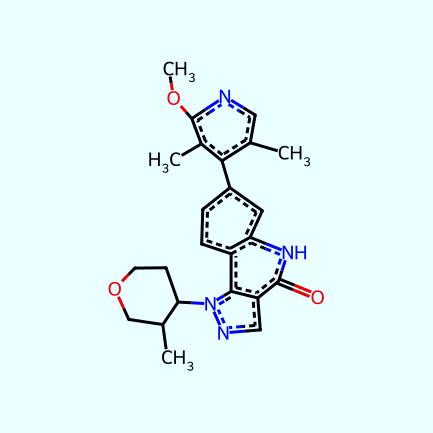 COc1ncc(C)c(-c2ccc3c(c2)[nH]c(=O)c2cnn(C4CCOCC4C)c23)c1C